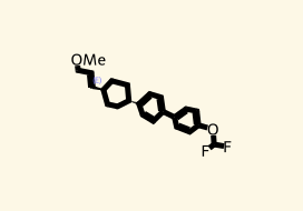 COC/C=C/[C@H]1CC[C@H](c2ccc(-c3ccc(OC(F)F)cc3)cc2)CC1